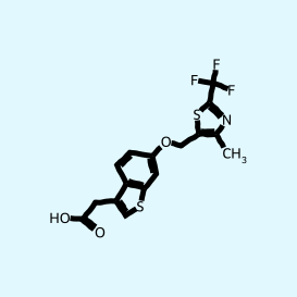 Cc1nc(C(F)(F)F)sc1COc1ccc2c(CC(=O)O)csc2c1